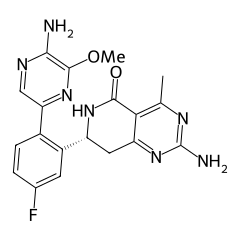 COc1nc(-c2ccc(F)cc2[C@H]2Cc3nc(N)nc(C)c3C(=O)N2)cnc1N